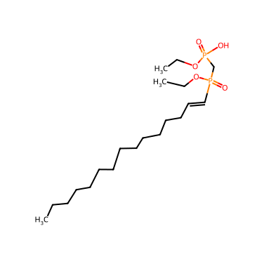 CCCCCCCCCCCCCC=CP(=O)(CP(=O)(O)OCC)OCC